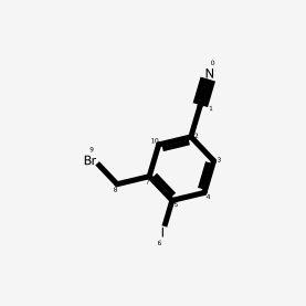 N#Cc1ccc(I)c(CBr)c1